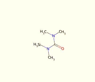 CN(C)C(=O)N(C)[SiH3]